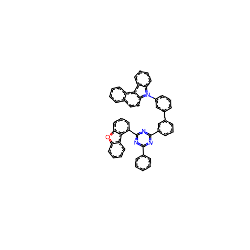 c1ccc(-c2nc(-c3cccc(-c4cccc(-n5c6ccccc6c6c7ccccc7ccc65)c4)c3)nc(-c3cccc4oc5ccccc5c34)n2)cc1